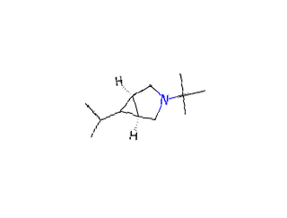 CC(C)C1[C@H]2CN(C(C)(C)C)C[C@@H]12